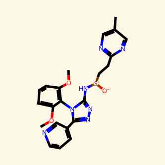 COc1cccc(OC)c1-n1c(N[S+]([O-])CCc2ncc(C)cn2)nnc1-c1cccnc1